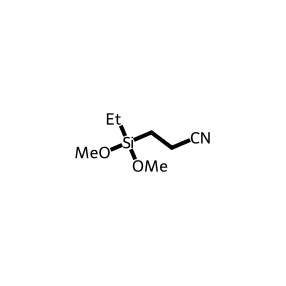 CC[Si](CCC#N)(OC)OC